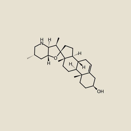 C[C@@H]1CN[C@H]2[C@@H](C)[C@@]3(CC[C@H]4[C@@H]5CC=C6C[C@@H](O)CC[C@]6(C)[C@H]5CC[C@@]43C)O[C@@H]2C1